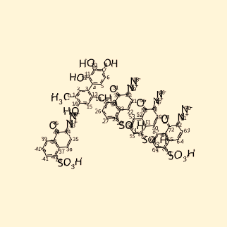 Cc1cc(-c2ccc(O)c(O)c2O)c(C)cc1O.[N-]=[N+]=C1C=Cc2c(cccc2S(=O)(=O)O)C1=O.[N-]=[N+]=C1C=Cc2c(cccc2S(=O)(=O)O)C1=O.[N-]=[N+]=C1C=Cc2c(cccc2S(=O)(=O)O)C1=O.[N-]=[N+]=C1C=Cc2c(cccc2S(=O)(=O)O)C1=O